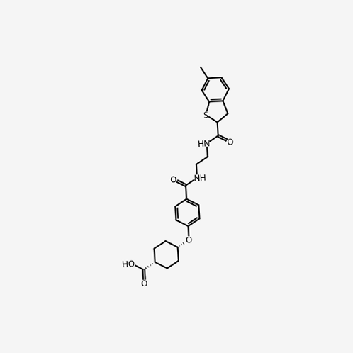 Cc1ccc2c(c1)SC(C(=O)NCCNC(=O)c1ccc(O[C@H]3CC[C@@H](C(=O)O)CC3)cc1)C2